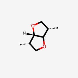 C[C@H]1CO[C@@H]2C1OC[C@@H]2C